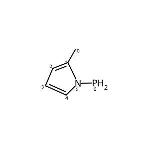 Cc1cccn1P